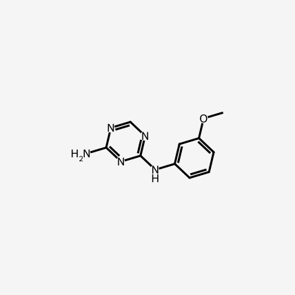 COc1cccc(Nc2ncnc(N)n2)c1